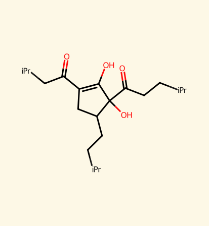 CC(C)CCC(=O)C1(O)C(O)=C(C(=O)CC(C)C)CC1CCC(C)C